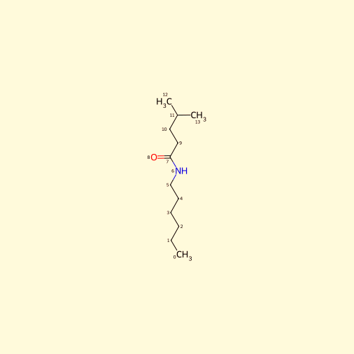 CCCCCCNC(=O)CCC(C)C